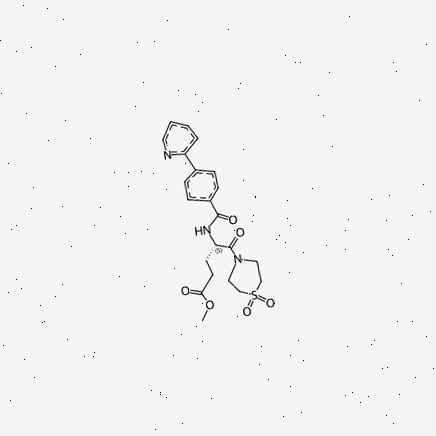 COC(=O)CC[C@H](NC(=O)c1ccc(-c2ccccn2)cc1)C(=O)N1CCS(=O)(=O)CC1